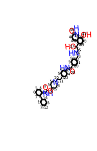 O=C(Nc1ccccc1-c1ccccc1)OC1CCN(CCc2ccc(NC(=O)c3ccc(CNC[C@H](O)c4ccc(O)c5[nH]c(=O)ccc45)cc3)cc2)CC1